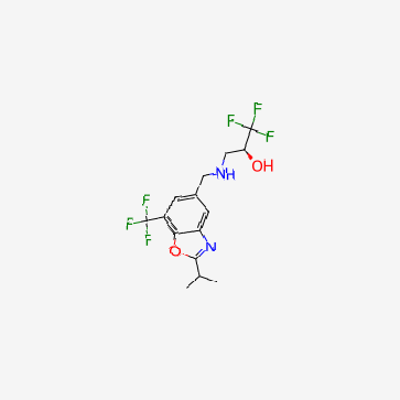 CC(C)c1nc2cc(CNC[C@H](O)C(F)(F)F)cc(C(F)(F)F)c2o1